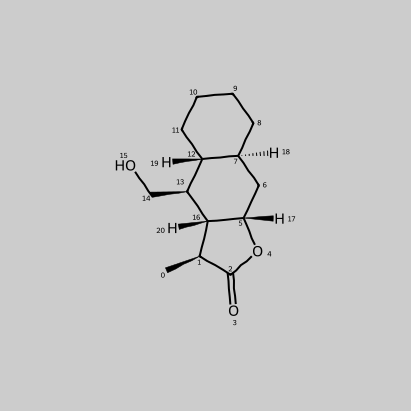 C[C@@H]1C(=O)O[C@H]2C[C@@H]3CCCC[C@H]3[C@H](CO)[C@H]21